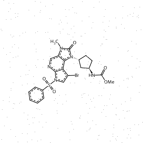 COC(=O)N[C@@H]1CC[C@@H](n2c(=O)n(C)c3cnc4c(c(Br)cn4S(=O)(=O)c4ccccc4)c32)C1